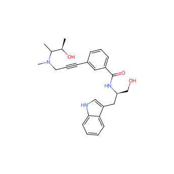 CC([C@@H](C)O)N(C)CC#Cc1cccc(C(=O)N[C@@H](CO)Cc2c[nH]c3ccccc23)c1